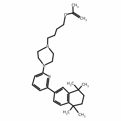 C=C(C)OCCCCN1CCN(c2cccc(-c3ccc4c(c3)C(C)(C)CCC4(C)C)n2)CC1